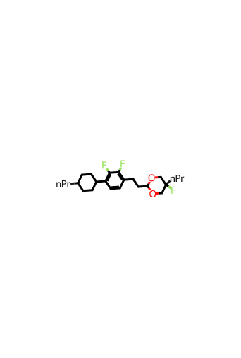 CCCC1CCC(c2ccc(CCC3OCC(F)(CCC)CO3)c(F)c2F)CC1